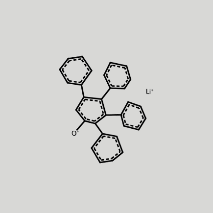 [Li+].[O-]c1cc(-c2ccccc2)c(-c2ccccc2)c(-c2ccccc2)c1-c1ccccc1